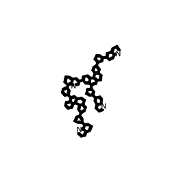 c1cc(-c2ccc3ncccc3c2)cc(-c2ccc3c(ccc4cc(-c5cccc(-c6ccc7ncccc7c6)c5)c5cc(-c6cnc7c(-c8cccc(-c9cc%10ccc%11ccc(-c%12cccc(-c%13cccc%14cccnc%13%14)c%12)cc%11c%10c%10ccccc9%10)c8)cccc7c6)ccc5c43)c2)c1